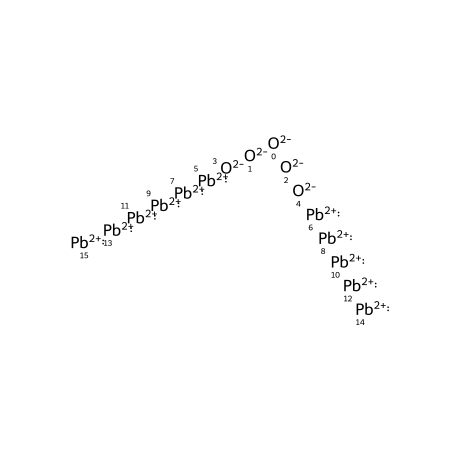 [O-2].[O-2].[O-2].[O-2].[O-2].[Pb+2].[Pb+2].[Pb+2].[Pb+2].[Pb+2].[Pb+2].[Pb+2].[Pb+2].[Pb+2].[Pb+2].[Pb+2]